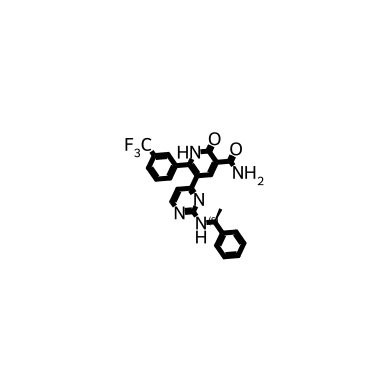 C[C@H](Nc1nccc(-c2cc(C(N)=O)c(=O)[nH]c2-c2cccc(C(F)(F)F)c2)n1)c1ccccc1